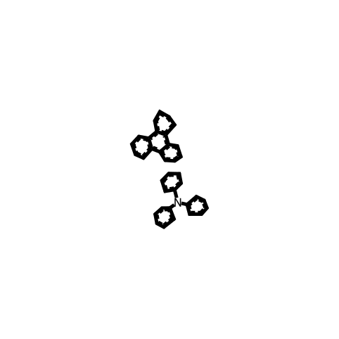 c1ccc(N(c2ccccc2)c2ccccc2)cc1.c1ccc2c(c1)c1ccccc1c1ccccc21